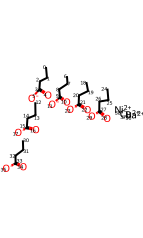 CCCC(=O)[O-].CCCC(=O)[O-].CCCC(=O)[O-].CCCC(=O)[O-].CCCC(=O)[O-].CCCC(=O)[O-].[Ba+2].[Cu+2].[Ni+2]